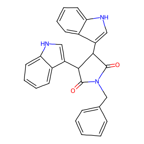 O=C1C(c2c[nH]c3ccccc23)C(c2c[nH]c3ccccc23)C(=O)N1Cc1ccccc1